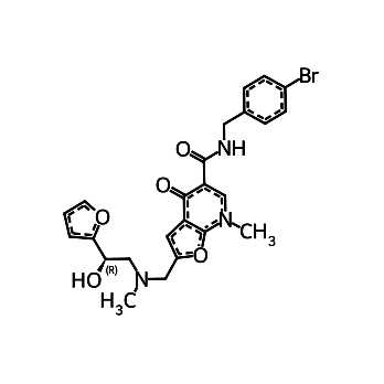 CN(Cc1cc2c(=O)c(C(=O)NCc3ccc(Br)cc3)cn(C)c2o1)C[C@@H](O)c1ccco1